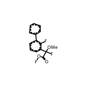 COC(F)(C(=O)OF)c1cccc(-c2ccccc2)c1F